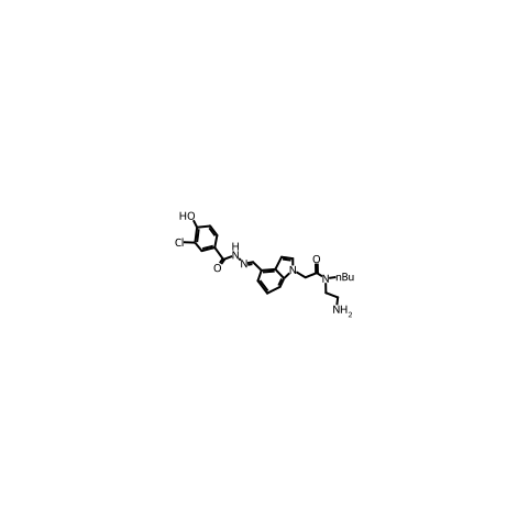 CCCCN(CCN)C(=O)Cn1ccc2c(/C=N/NC(=O)c3ccc(O)c(Cl)c3)cccc21